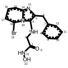 O=C(CNc1c(Cc2ccccc2)nc2cccc(Br)n12)NO